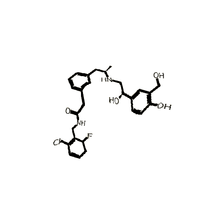 C[C@H](Cc1cccc(CC(=O)NCC2=C(Cl)C=CCC2F)c1)NC[C@H](O)c1ccc(O)c(CO)c1